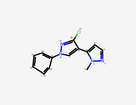 Cn1nccc1-c1cn(-c2ccccc2)nc1Cl